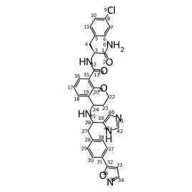 NC(=O)[C@H](Cc1ccc(Cl)cc1)NC(=O)c1cccc2c1OCCC2NC(Cc1ccc(-c2ccno2)cc1)c1cnc[nH]1